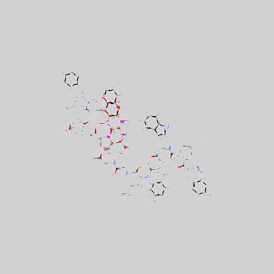 COCC[C@@H](C(=O)N1C[C@@H](O)C[C@@H]1C(=O)N[C@@H](CC(=O)O)C(=O)N[C@H](C(=O)N(C)[C@@H](C)Cc1ccccc1)C(C)C)N(C)C(=O)[C@H](Cc1ccccc1)N(C)C(=O)[C@H](Cc1ccc(F)c(F)c1)NC(=O)CSC[C@H](NC(=O)[C@H](CCCN)NC(=O)[C@H](Cc1ccc(O)cc1)NC(=O)[C@H](Cc1c[nH]c2ccccc12)NC(=O)[C@H]1C[C@H](O)CN1C(=O)[C@H](Cc1ccc(O)cc1)N=O)C(=O)NCC(N)=O